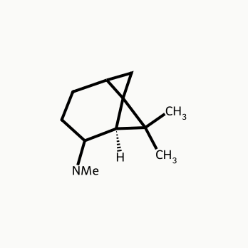 CNC1CCC2CC23[C@H]1C3(C)C